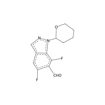 O=Cc1c(F)cc2cnn(C3CCCCO3)c2c1F